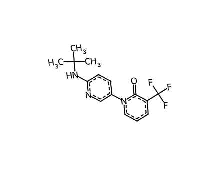 CC(C)(C)Nc1ccc(-n2cccc(C(F)(F)F)c2=O)cn1